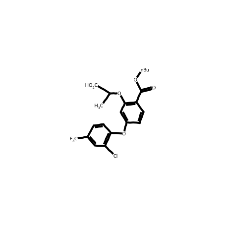 CCCCOC(=O)c1ccc(Oc2ccc(C(F)(F)F)cc2Cl)cc1OC(C)C(=O)O